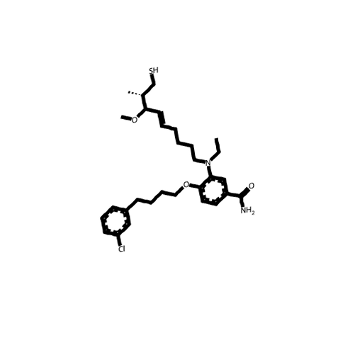 CCN(CCCC/C=C/C(OC)[C@H](C)CS)c1cc(C(N)=O)ccc1OCCCCc1cccc(Cl)c1